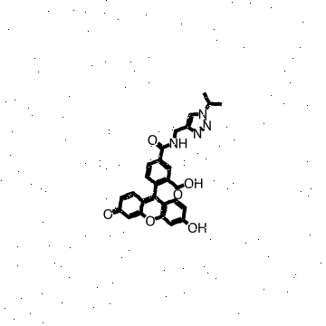 CC(C)n1cc(CNC(=O)c2ccc(-c3c4ccc(=O)cc-4oc4cc(O)ccc34)c(C(=O)O)c2)nn1